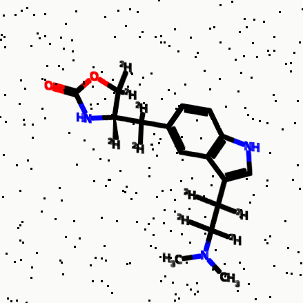 [2H]C([2H])(c1c[nH]c2ccc(C([2H])([2H])[C@]3([2H])NC(=O)OC3([2H])[2H])cc12)C([2H])([2H])N(C)C